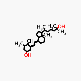 C=C1/C(=C\C=C2/CCCC3(C)C2CCC3C(C)CCCC(C)(C)O)CC(O)CC1C